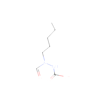 CCCCCN([C]=O)NC(=O)O